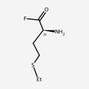 CCSCC[C@H](N)C(=O)F